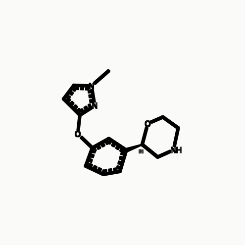 Cn1ccc(Oc2cccc([C@@H]3CNCCO3)c2)n1